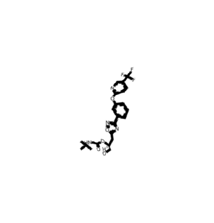 CC(C)(C)NC(=O)O[C@H](CO)Cc1nc(-c2cccc(Oc3ccc(C(F)(F)F)cn3)c2)no1